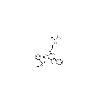 C=C(C)C(=O)OCCOC(=O)C1=NN(c2ccccc2)C(OC(=O)OC(C)(C)C)C1c1ccc2ccccc2n1